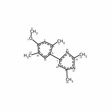 COc1cc(C)c(-c2nc(C)nc(C)n2)cc1C